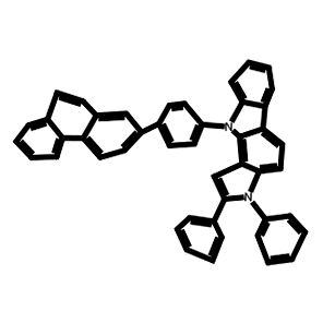 c1ccc(-c2cc3c(ccc4c5ccccc5n(-c5ccc(-c6ccc7c(ccc8ccccc87)c6)cc5)c43)n2-c2ccccc2)cc1